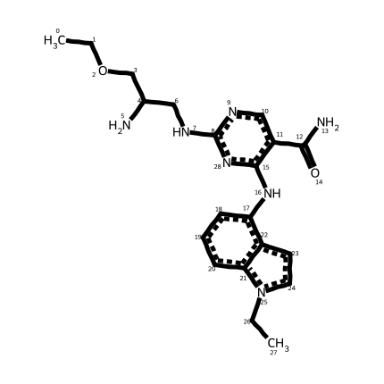 CCOCC(N)CNc1ncc(C(N)=O)c(Nc2cccc3c2ccn3CC)n1